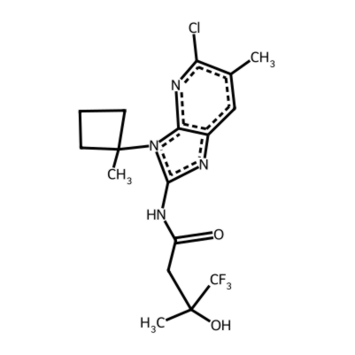 Cc1cc2nc(NC(=O)CC(C)(O)C(F)(F)F)n(C3(C)CCC3)c2nc1Cl